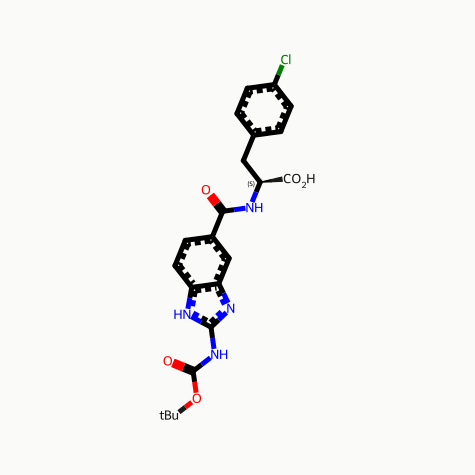 CC(C)(C)OC(=O)Nc1nc2cc(C(=O)N[C@@H](Cc3ccc(Cl)cc3)C(=O)O)ccc2[nH]1